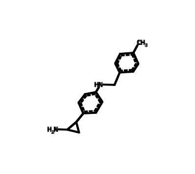 Cc1ccc(CNc2ccc(C3CC3N)cc2)cc1